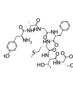 CSCC[C@H](NC(=O)[C@H](Cc1ccccc1)NC(=O)CNC(=O)[C@@H](C)NC(=O)[C@@H](N)Cc1ccc(O)cc1)C(=O)N[C@H](C(=O)N[C@@H](CO)C(=O)O)C(C)O